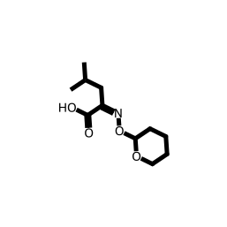 CC(C)CC(=NOC1CCCCO1)C(=O)O